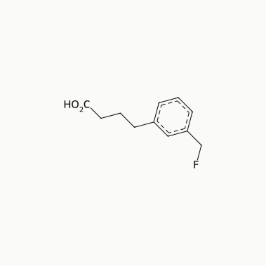 O=C(O)CCCc1cccc(CF)c1